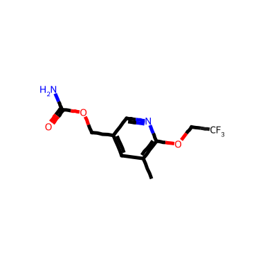 Cc1cc(COC(N)=O)cnc1OCC(F)(F)F